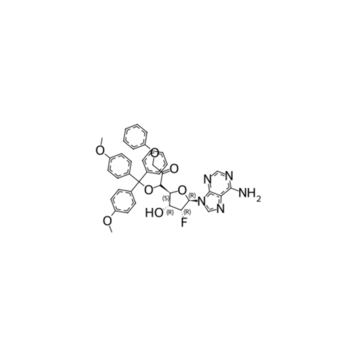 COc1ccc(C(OC(C(=O)COc2ccccc2)[C@H]2O[C@@H](n3cnc4c(N)ncnc43)[C@H](F)[C@@H]2O)(c2ccccc2)c2ccc(OC)cc2)cc1